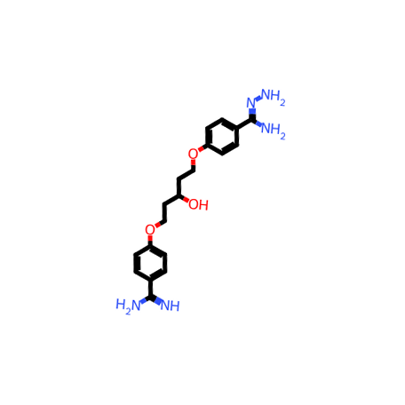 N=C(N)c1ccc(OCCC(O)CCOc2ccc(C(N)=NN)cc2)cc1